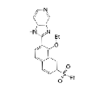 CCOc1c(-c2nc3cnccc3[nH]2)ccc2ccc(S(=O)(=O)CC)cc12